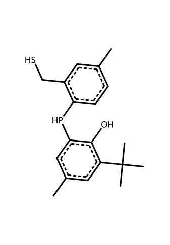 Cc1ccc(Pc2cc(C)cc(C(C)(C)C)c2O)c(CS)c1